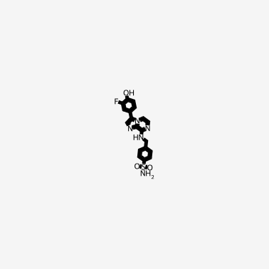 NS(=O)(=O)c1ccc(CNc2nccn3c(-c4ccc(O)c(F)c4)cnc23)cc1